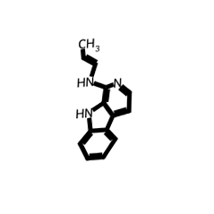 CC=CNc1nccc2c1[nH]c1ccccc12